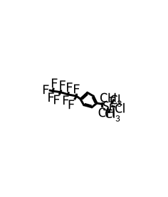 CC(C)(c1ccc(C(F)(F)C(F)(F)C(F)(F)C(F)(F)F)cc1)[Si](Cl)(Cl)Cl